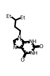 CCC(CC)CCn1cnc2c(=O)[nH]c(=O)[nH]c21